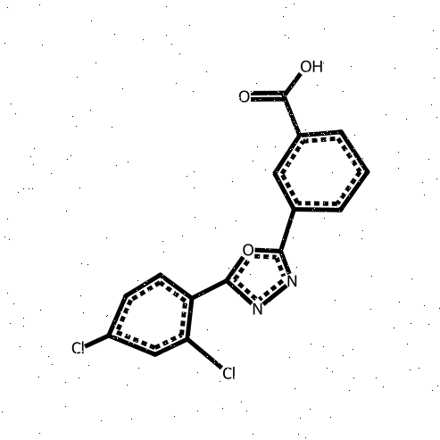 O=C(O)c1cccc(-c2nnc(-c3ccc(Cl)cc3Cl)o2)c1